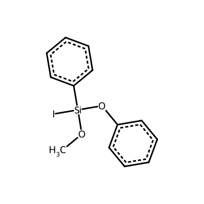 CO[Si](I)(Oc1ccccc1)c1ccccc1